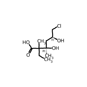 CCC(C)(C(=O)O)[C@](C)(O)C[C@H](O)CCl